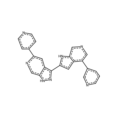 c1cncc(-c2cncc3[nH]c(-c4n[nH]c5cnc(-c6ccncc6)cc45)cc23)c1